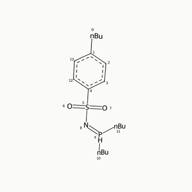 CCCCc1ccc(S(=O)(=O)N=[PH](CCCC)CCCC)cc1